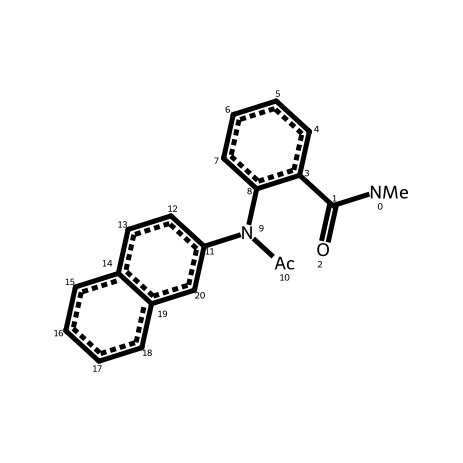 CNC(=O)c1ccccc1N(C(C)=O)c1ccc2ccccc2c1